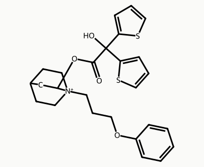 O=C(OC1CC2CC[N+]1(CCCOc1ccccc1)CC2)C(O)(c1cccs1)c1cccs1